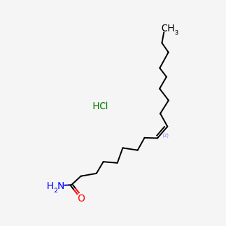 CCCCCCCC/C=C\CCCCCCCC(N)=O.Cl